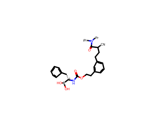 CC(C)N(C(=O)C(C#N)CCc1cccc(CCOC(=O)N[C@@H](Cc2ccccc2)B(O)O)c1)C(C)C